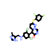 Cc1nc[nH]c1CNc1cc(Cl)c(-c2c(=O)ncn3nc(Sc4ccc(F)cc4F)ccc23)c(Cl)c1